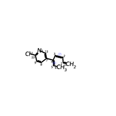 C=C/C=C\C(=C/C)c1ccc(Cl)nc1